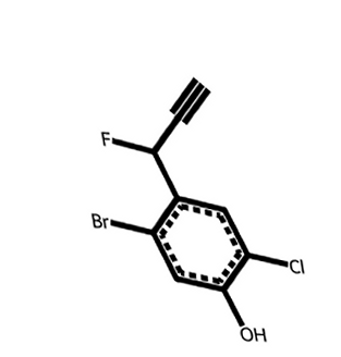 C#CC(F)c1cc(Cl)c(O)cc1Br